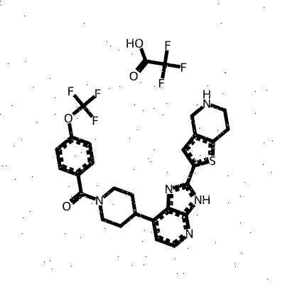 O=C(O)C(F)(F)F.O=C(c1ccc(OC(F)(F)F)cc1)N1CCC(c2ccnc3[nH]c(-c4cc5c(s4)CCNC5)nc23)CC1